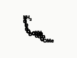 COc1cccc2c1CCC2n1cccc(C(=O)Nc2ccc(Oc3ccc(OCCOCCOCCN)cc3)cc2)c1=O